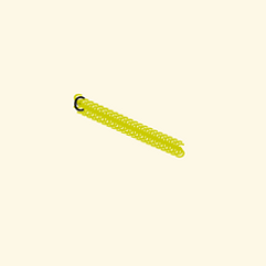 S=C=S=S=S=S=S=S=S=S=S=S=S=S=S=S=S=S=S=S=S=S=S=S=S=S=S=S=S=S=S=S=S=S=S=S=S=S=S=S=S=S=S